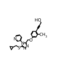 Cc1cc(OCc2nnc(SCC3CC3)n2-c2cccnc2)ccc1C#CCO